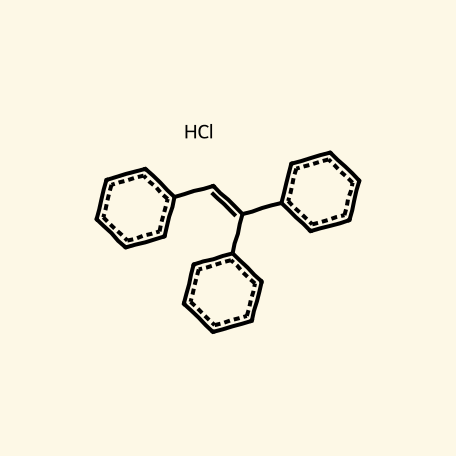 C(=C(c1ccccc1)c1ccccc1)c1ccccc1.Cl